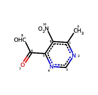 Cc1ncnc(C(=O)C=O)c1[N+](=O)[O-]